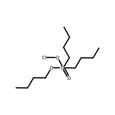 CCCC[O][Ti](=[O])([CH2]CCC)([CH2]CCC)[O]Cl